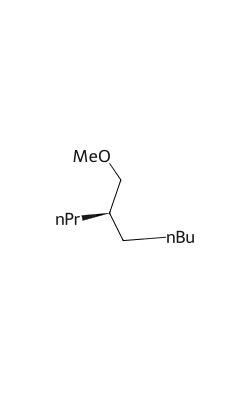 CCCCC[C@@H](CCC)COC